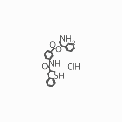 Cl.NCC(OC(=O)c1cccc(NC(=O)C(CS)Cc2ccccc2)c1)c1ccccc1